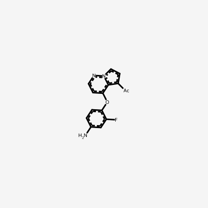 CC(=O)c1ccn2nccc(Oc3ccc(N)cc3F)c12